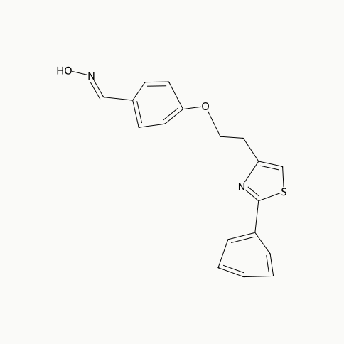 ON=Cc1ccc(OCCc2csc(-c3ccccc3)n2)cc1